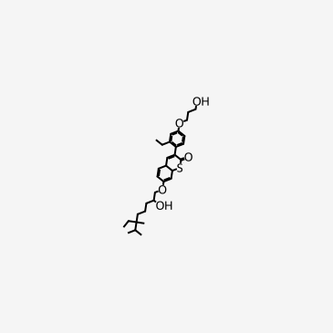 CCc1cc(OCCCO)ccc1C1=CC2C=CC(OCC(O)CCCC(C)(CC)C(C)C)=CC2SC1=O